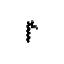 CC=CCCC=CCN(C)C(C)N